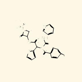 NC(=O)N(C(=O)c1ccc(Cl)cc1)C(C(=O)NC1CN(S(=O)(=O)O)C1=O)c1cccs1.c1ccncc1